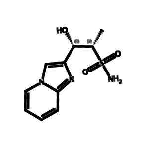 C[C@@H]([C@@H](O)c1cn2ccccc2n1)S(N)(=O)=O